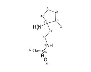 CC1CCCC1(N)CCN[SH](=O)=O